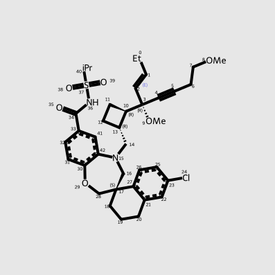 CC/C=C/[C@](C#CCCOC)(OC)[C@@H]1CC[C@H]1CN1C[C@@]2(CCCc3cc(Cl)ccc32)COc2ccc(C(=O)NS(=O)(=O)C(C)C)cc21